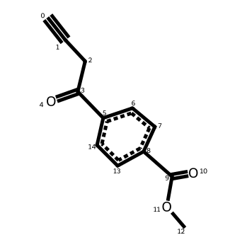 C#CCC(=O)c1ccc(C(=O)OC)cc1